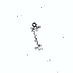 CN(CCOCCOCCNC(=O)O)S(=O)(=O)c1ccccc1[N+](=O)[O-]